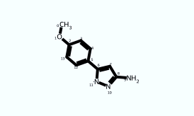 COc1ccc(C2=CC(N)=N[N]2)cc1